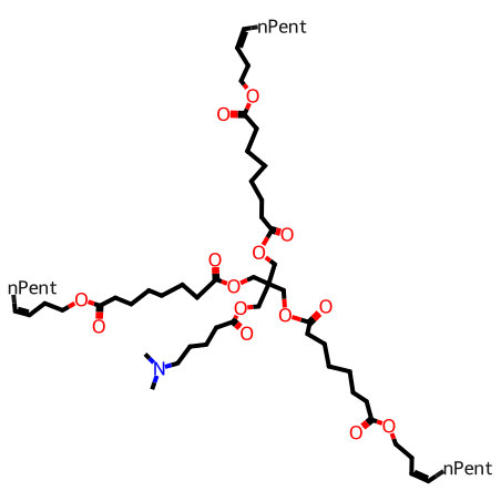 CCCCC/C=C\CCOC(=O)CCCCCCC(=O)OCC(COC(=O)CCCCCCC(=O)OCC/C=C\CCCCC)(COC(=O)CCCCCCC(=O)OCC/C=C\CCCCC)COC(=O)CCCCN(C)C